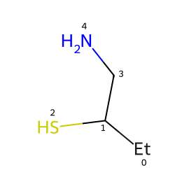 CCC(S)CN